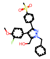 COc1ccc(-c2c(-c3ccc(S(C)(=O)=O)cc3)nn(Cc3ccccc3)c2CO)cc1F